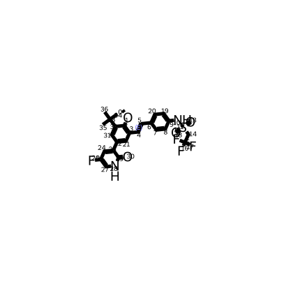 COc1c(/C=C/c2ccc(NS(=O)(=O)CC(F)(F)F)cc2)cc(-c2cc(F)c[nH]c2=O)cc1C(C)(C)C